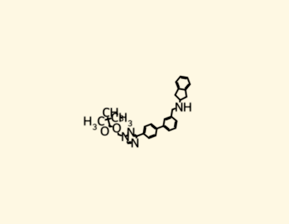 CC(C)(C)C(=O)OCn1cnc(-c2ccc(-c3cccc(CNC4Cc5ccccc5C4)c3)cc2)n1